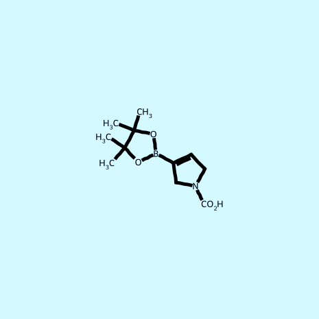 CC1(C)OB(C2=CCN(C(=O)O)C2)OC1(C)C